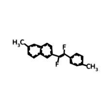 Cc1ccc(/C(F)=C(\F)c2ccc3cc(C)ccc3c2)cc1